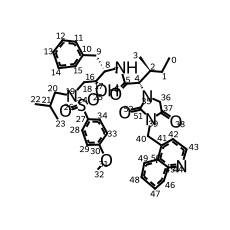 CC[C@H](C)[C@@H](C(=O)N[C@@H](Cc1ccccc1)[C@@H](O)CN(CC(C)C)S(=O)(=O)c1ccc(OC)cc1)N1CC(=O)N(Cc2ccnc3ccccc23)C1=O